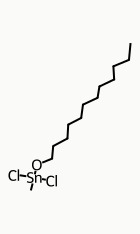 CCCCCCCCCCCC[O][Sn]([CH3])([Cl])[Cl]